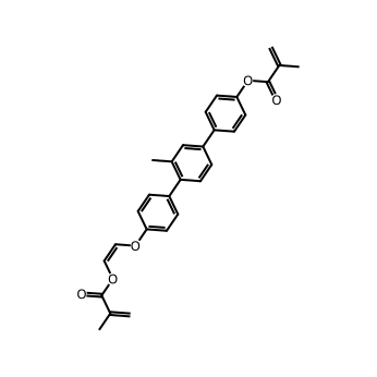 C=C(C)C(=O)O/C=C\Oc1ccc(-c2ccc(-c3ccc(OC(=O)C(=C)C)cc3)cc2C)cc1